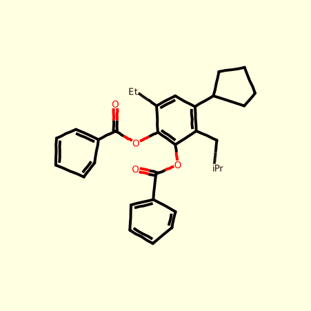 CCc1cc(C2CCCC2)c(CC(C)C)c(OC(=O)c2ccccc2)c1OC(=O)c1ccccc1